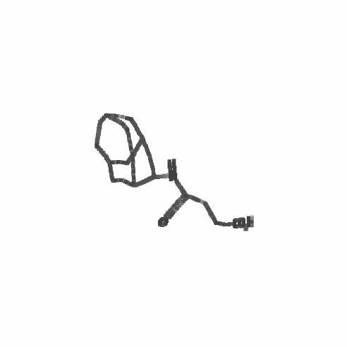 O=C(O)CCC(=O)NC1C2CC3CC(C2)CC1C3